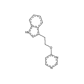 c1ccc2c(CCOc3ccncn3)c[nH]c2c1